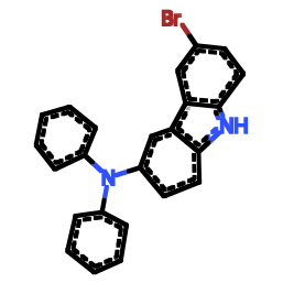 Brc1ccc2[nH]c3ccc(N(c4ccccc4)c4ccccc4)cc3c2c1